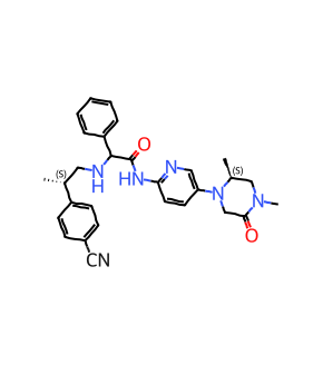 C[C@H](CNC(C(=O)Nc1ccc(N2CC(=O)N(C)C[C@@H]2C)cn1)c1ccccc1)c1ccc(C#N)cc1